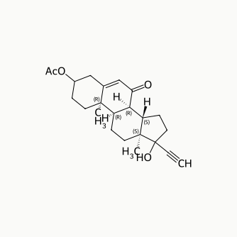 C#CC1(O)CC[C@H]2[C@@H]3C(=O)C=C4CC(OC(C)=O)CC[C@]4(C)[C@@H]3CC[C@@]21C